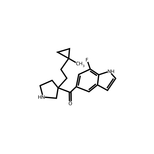 CC1(CCC2(C(=O)c3cc(F)c4[nH]ccc4c3)CCNC2)CC1